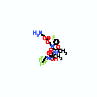 C[C@H]1Oc2ccc(F)cc2N(CCOC(=O)OCCN)C(=O)[C@H]1NC(=O)[C@@](C)(O)C(=O)NCC(F)(F)C(F)(F)F